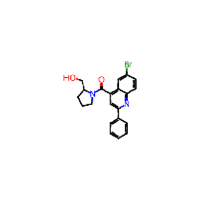 O=C(c1cc(-c2ccccc2)nc2ccc(Br)cc12)N1CCCC1CO